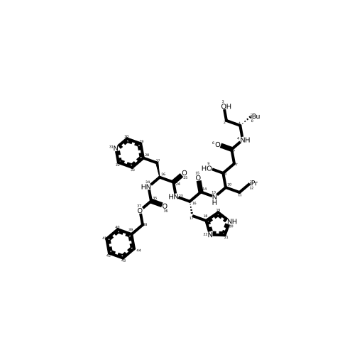 CCC(C)[C@@H](CO)NC(=O)CC(O)C(CC(C)C)NC(=O)[C@H](Cc1c[nH]cn1)NC(=O)[C@H](Cc1ccncc1)NC(=O)OCc1ccccc1